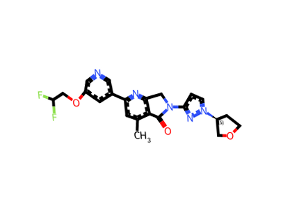 Cc1cc(-c2cncc(OCC(F)F)c2)nc2c1C(=O)N(c1ccn([C@H]3CCOC3)n1)C2